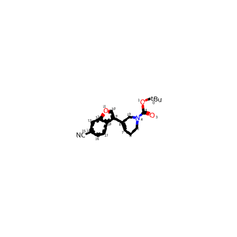 CC(C)(C)OC(=O)N1CCC=C(c2coc3cc(C#N)ccc23)C1